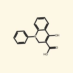 O=C(O)C1=C(O)c2ccccc2N(c2ccccc2)C1